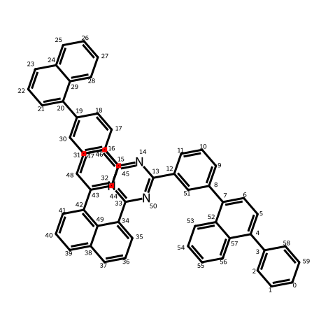 c1ccc(-c2ccc(-c3cccc(-c4nc(-c5ccc(-c6cccc7ccccc67)cc5)nc(-c5cccc6cccc(-c7ccccc7)c56)n4)c3)c3ccccc23)cc1